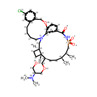 C[C@@H]1CS(=O)(=O)NC(=O)c2ccc3c(c2)N(CCCCc2cc(Cl)ccc2CO3)C[C@@H]2CC[C@H]2[C@H]([C@H]2OC[C@H](N(C)C)CO2)CC[C@@H]1C